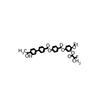 C=C(F)C(=O)Oc1cc(OC(=O)c2ccc(OC(=O)c3ccc(-c4ccc(C(C)O)cc4)cc3)cc2)ccc1OCC